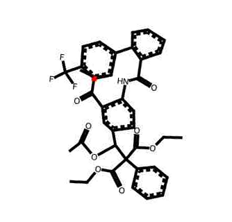 CCOC(=O)C(C(=O)OCC)(c1ccccc1)C(OC(C)=O)c1ccc(NC(=O)c2ccccc2-c2ccc(C(F)(F)F)cc2)c(C(=O)N(C)C)c1